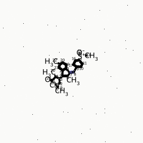 CSCC(C1=C(C)/C(=C/c2ccc([S+](C)[O-])cc2)c2ccc(C)cc21)[C@H](C)C(C)=O